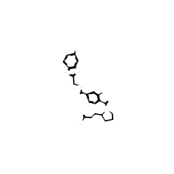 C[C@H](NC(=O)c1ccc(C(=O)N2CCCC2CCC(N)=O)c(Cl)c1)c1nc2cc(Cl)ccc2[nH]1